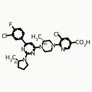 C[C@@H]1CN(c2ncc(C(=O)O)cc2Cl)CCN1c1cc(-c2ccc(F)c(Cl)c2)nc(N2CCC[C@H]2C)n1